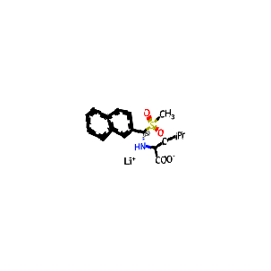 CC(C)CC(N[C@H](c1ccc2ccccc2c1)S(C)(=O)=O)C(=O)[O-].[Li+]